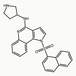 O=S(=O)(c1cccc2ccccc12)n1ccc2c(NC3CCNC3)nc3ccccc3c21